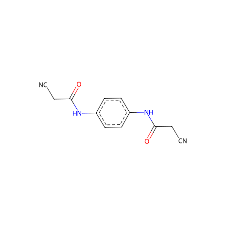 N#CCC(=O)Nc1ccc(NC(=O)CC#N)cc1